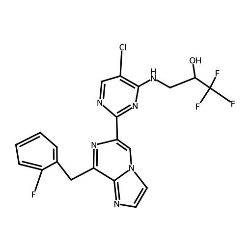 OC(CNc1nc(-c2cn3ccnc3c(Cc3ccccc3F)n2)ncc1Cl)C(F)(F)F